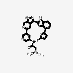 CN(C)CC(=O)Nc1cncc(-c2cc3c(-c4nc5c(-c6ccc(F)s6)cccc5[nH]4)n[nH]c3cn2)c1